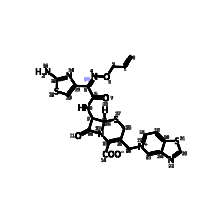 C=CCO/N=C(\C(=O)NC1C(=O)N2C(C(=O)[O-])=C(C[n+]3ccc4scnc4c3)CS[C@@H]12)c1csc(N)n1